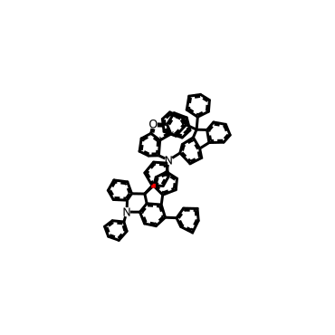 c1ccc(-c2ccc3c4c2-c2ccc(N(c5ccc6c(c5)C(c5ccccc5)(c5ccccc5)c5ccccc5-6)c5cccc6oc7ccccc7c56)cc2C4(c2ccccc2)c2ccccc2N3c2ccccc2)cc1